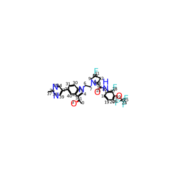 CC(=O)c1cn(CCN2C[C@H](F)C[C@H]2C(=O)Nc2cccc(OC(F)(F)F)c2F)c2ccc(-c3cnc(C)nc3)cc12